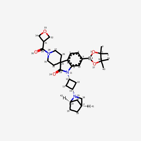 CC1(C)OB(c2ccc3c(c2)N([C@H]2C[C@@H](N4C[C@H]5CC[C@@H]4C5)C2)C(=O)C32CCN(C(=O)C3COC3)CC2)OC1(C)C